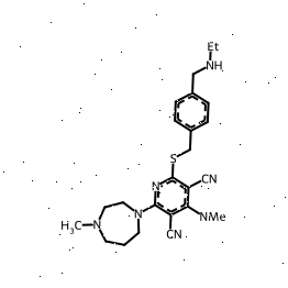 CCNCc1ccc(CSc2nc(N3CCCN(C)CC3)c(C#N)c(NC)c2C#N)cc1